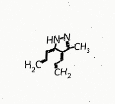 C=C/C=c1/c(C)n[nH]/c1=C/C=C